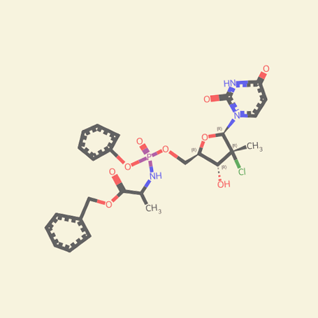 CC(NP(=O)(OC[C@H]1O[C@@H](n2ccc(=O)[nH]c2=O)[C@](C)(Cl)[C@@H]1O)Oc1ccccc1)C(=O)OCc1ccccc1